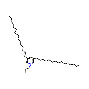 CCCCCCCCCCCCCCCc1cc(CCCCCCCCCCCCCCC)c[n+](CCC)c1